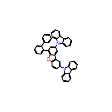 c1ccc(-c2ccccc2-c2cc(-n3c4ccccc4c4ccccc43)cc3c2oc2ccc(-n4c5ccccc5c5ccccc54)cc23)cc1